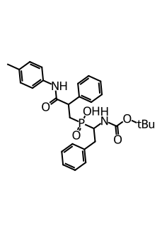 Cc1ccc(NC(=O)C(CP(=O)(O)C(Cc2ccccc2)NC(=O)OC(C)(C)C)c2ccccc2)cc1